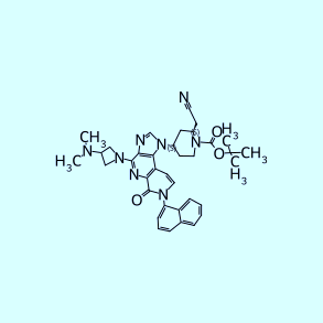 CN(C)C1CN(c2nc3c(=O)n(-c4cccc5ccccc45)ccc3c3c2ncn3[C@H]2CCN(C(=O)OC(C)(C)C)[C@H](CC#N)C2)C1